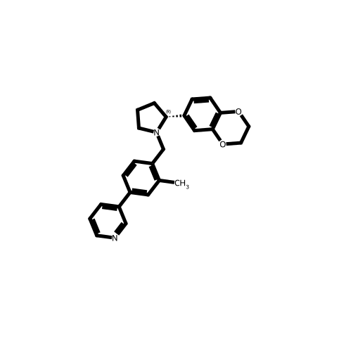 Cc1cc(-c2cccnc2)ccc1CN1CCC[C@@H]1c1ccc2c(c1)OCCO2